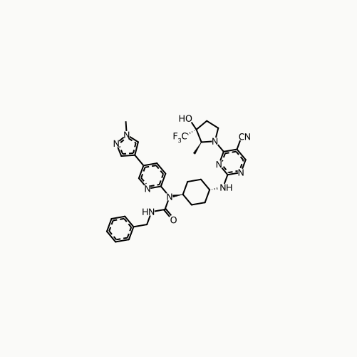 C[C@@H]1N(c2nc(N[C@H]3CC[C@H](N(C(=O)NCc4ccccc4)c4ccc(-c5cnn(C)c5)cn4)CC3)ncc2C#N)CC[C@@]1(O)C(F)(F)F